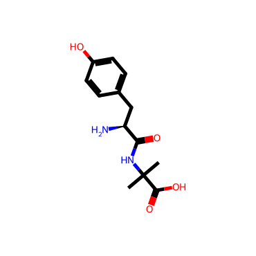 CC(C)(NC(=O)[C@@H](N)Cc1ccc(O)cc1)C(=O)O